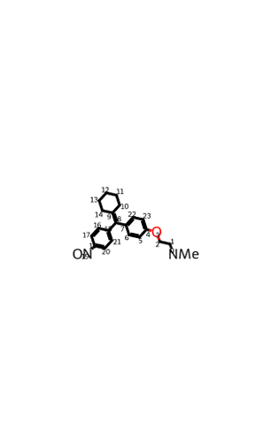 CNCCOc1ccc(C(=C2CCCCC2)c2ccc(N=O)cc2)cc1